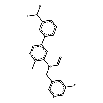 C=CN(Cc1cncc(F)c1)c1cc(-c2cccc(C(F)F)c2)cnc1C